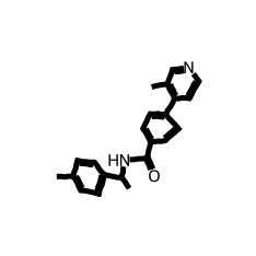 Cc1ccc(C(C)NC(=O)c2ccc(-c3ccncc3C)cc2)cc1